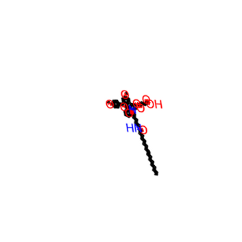 CCCCCCCCC=CCCCCCCCC(=O)NCCCCCC(=O)N1CC(OC(=O)CCC(=O)O)CC1C(OCc1ccc(OC)cc1)(c1ccccc1)c1ccc(OC)cc1